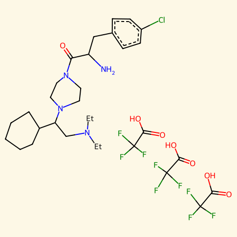 CCN(CC)CC(C1CCCCC1)N1CCN(C(=O)C(N)Cc2ccc(Cl)cc2)CC1.O=C(O)C(F)(F)F.O=C(O)C(F)(F)F.O=C(O)C(F)(F)F